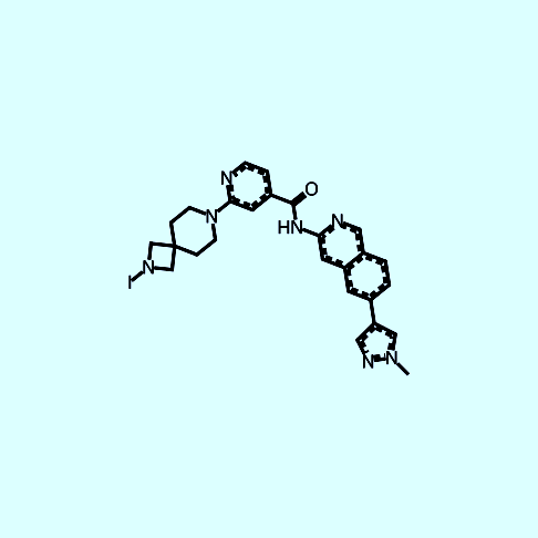 Cn1cc(-c2ccc3cnc(NC(=O)c4ccnc(N5CCC6(CC5)CN(I)C6)c4)cc3c2)cn1